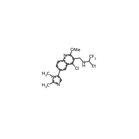 CCC(NCc1c(OC)nc2ccc(-c3cnc(C)n3C)cc2c1Cl)C(F)(F)F